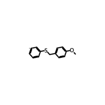 COc1ccc(CSc2c[c]ccc2)cc1